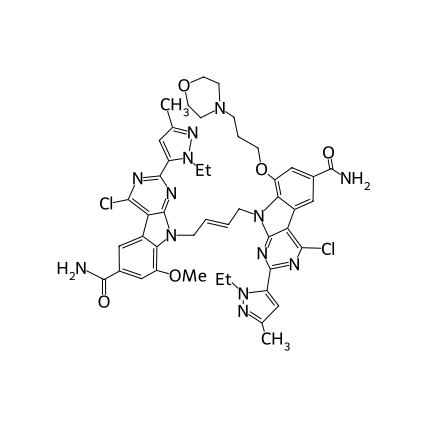 CCn1nc(C)cc1-c1nc(Cl)c2c3cc(C(N)=O)cc(OC)c3n(C/C=C/Cn3c4nc(-c5cc(C)nn5CC)nc(Cl)c4c4cc(C(N)=O)cc(OCCCN5CCOCC5)c43)c2n1